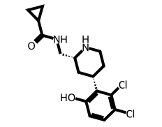 O=C(NC[C@H]1C[C@@H](c2c(O)ccc(Cl)c2Cl)CCN1)C1CC1